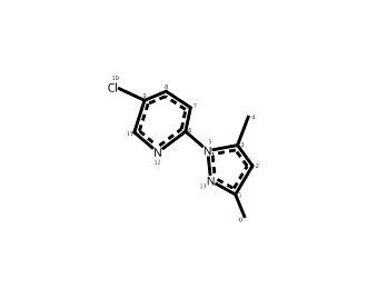 Cc1[c]c(C)n(-c2ccc(Cl)cn2)n1